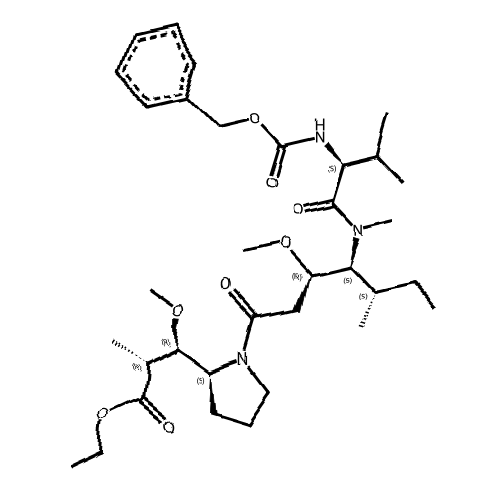 CCOC(=O)[C@H](C)[C@@H](OC)[C@@H]1CCCN1C(=O)C[C@@H](OC)[C@H]([C@@H](C)CC)N(C)C(=O)[C@@H](NC(=O)OCc1ccccc1)C(C)C